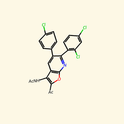 CC(=O)Nc1c(C(C)=O)oc2nc(-c3ccc(Cl)cc3Cl)c(-c3ccc(Cl)cc3)cc12